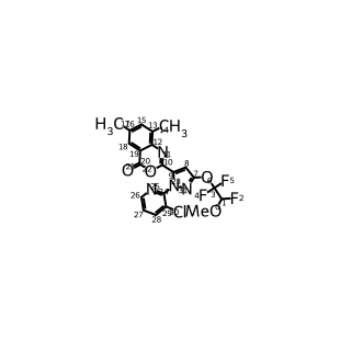 COC(F)C(F)(F)Oc1cc(-c2nc3c(C)cc(C)cc3c(=O)o2)n(-c2ncccc2Cl)n1